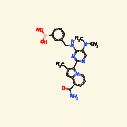 Cc1cc2c(C(N)=O)cccn2c1-c1ncc(N(C)C)c(NCc2cccc(B(O)O)c2)n1